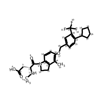 CN[C@H](CC(=O)O)C(=O)N1CCc2c1ccc(OCc1ccc(C3CCCC3)c(C(F)(F)F)c1)c2C